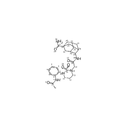 CC(=O)Nc1ccccc1N1CCCN(CC(=O)NC2C3CC4CC2CC(C(N)=O)(C4)C3)S1(=O)=O